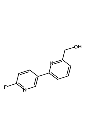 OCc1cccc(-c2ccc(F)nc2)n1